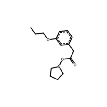 CCCOc1cccc(CC(=O)ON2CCCC2)c1